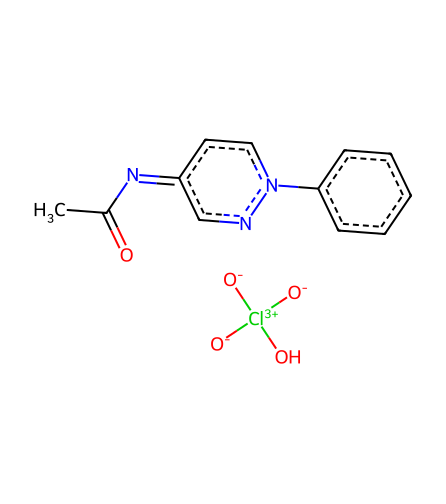 CC(=O)/N=c1/ccn(-c2ccccc2)nc1.[O-][Cl+3]([O-])([O-])O